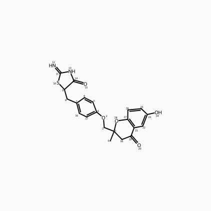 CC1(COc2ccc(CC3SC(=N)NC3=O)cc2)CC(=O)c2cc(O)ccc2O1